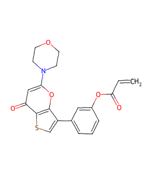 C=CC(=O)Oc1cccc(-c2csc3c(=O)cc(N4CCOCC4)oc23)c1